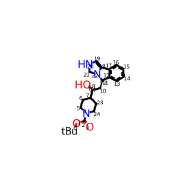 CC(C)(C)OC(=O)N1CCC([C@@H](O)C[C@@H]2c3ccccc3C3=CNCN32)CC1